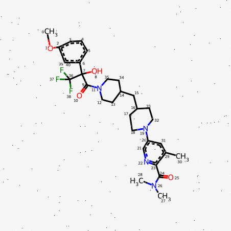 COc1cccc(C(O)(C(=O)N2CCC(CC3CCN(c4cnc(C(=O)N(C)C)c(C)c4)CC3)CC2)C(F)(F)F)c1